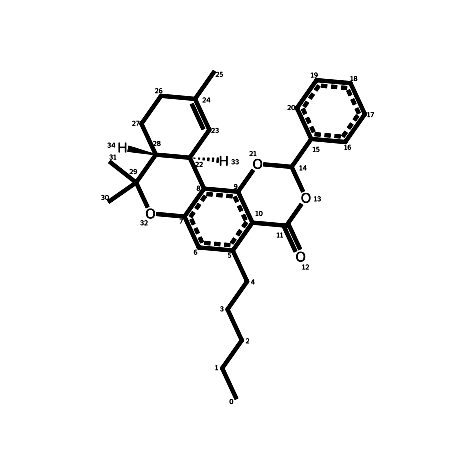 CCCCCc1cc2c(c3c1C(=O)OC(c1ccccc1)O3)[C@@H]1C=C(C)CC[C@H]1C(C)(C)O2